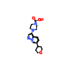 O=C(O)N1CCN(c2cnn3cc(C4CCOCC4)ccc23)CC1